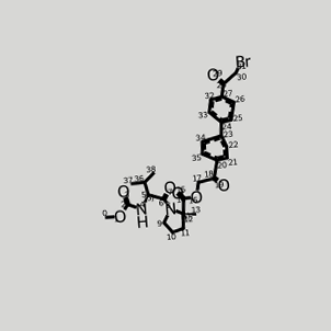 COC(=O)N[C@H](C(=O)N1CCC[C@@]1(C)C(=O)OCC(=O)c1ccc(-c2ccc(C(=O)CBr)cc2)cc1)C(C)C